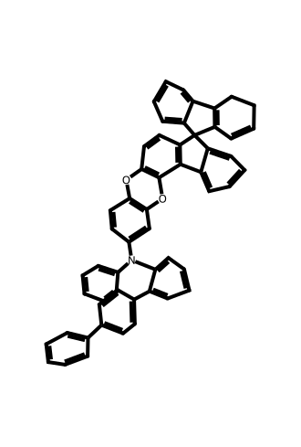 C1=CC2=C(CC1)c1ccccc1C21c2ccccc2-c2c1ccc1c2Oc2cc(N(c3ccccc3)c3ccccc3-c3ccc(-c4ccccc4)cc3)ccc2O1